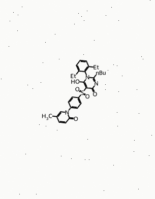 CCCCc1nc(=O)c(S(=O)(=O)c2ccc(-n3cc(C)ccc3=O)cc2)c(O)n1-c1c(CC)cccc1CC